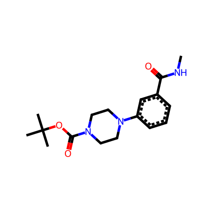 CNC(=O)c1cccc(N2CCN(C(=O)OC(C)(C)C)CC2)c1